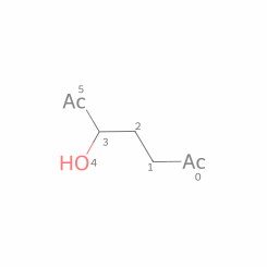 CC(=O)CCC(O)C(C)=O